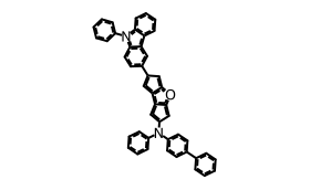 C1=C(c2ccc3c(c2)c2ccccc2n3-c2ccccc2)C=c2oc3c(c2=1)=C=C(N(c1ccccc1)c1ccc(-c2ccccc2)cc1)C=3